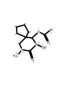 CCC(=O)OC1N(O)C(=O)N(C)CC12CCCC2